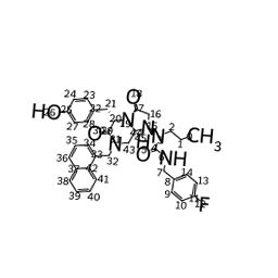 CCCN(C(=O)NCc1ccc(F)cc1)N1CC(=O)N2[C@@H](Cc3ccc(O)cc3)C(=O)N(Cc3cccc4ccccc34)C[C@@H]21